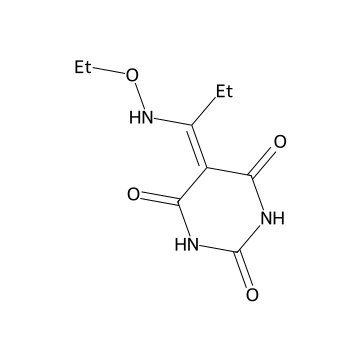 CCONC(CC)=C1C(=O)NC(=O)NC1=O